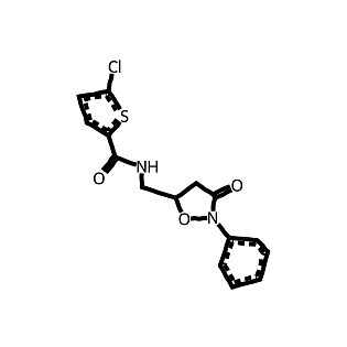 O=C(NCC1CC(=O)N(c2ccccc2)O1)c1ccc(Cl)s1